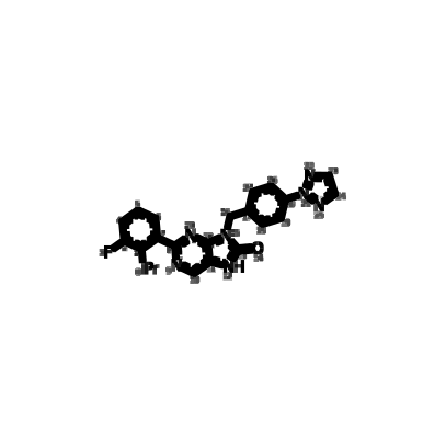 CC(C)c1c(F)cccc1-c1ncc2[nH]c(=O)n(Cc3ccc(-n4nccn4)cc3)c2n1